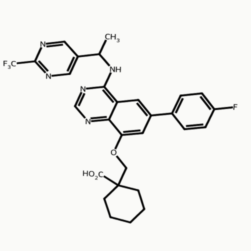 CC(Nc1ncnc2c(OCC3(C(=O)O)CCCCC3)cc(-c3ccc(F)cc3)cc12)c1cnc(C(F)(F)F)nc1